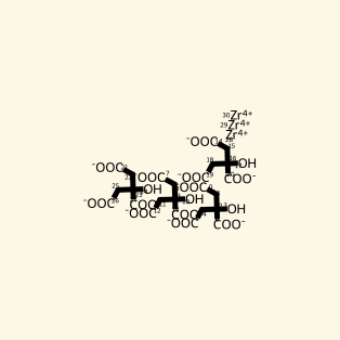 O=C([O-])CC(O)(CC(=O)[O-])C(=O)[O-].O=C([O-])CC(O)(CC(=O)[O-])C(=O)[O-].O=C([O-])CC(O)(CC(=O)[O-])C(=O)[O-].O=C([O-])CC(O)(CC(=O)[O-])C(=O)[O-].[Zr+4].[Zr+4].[Zr+4]